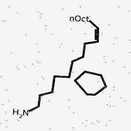 C1CCCCC1.CCCCCCCC/C=C\CCCCCCCCN